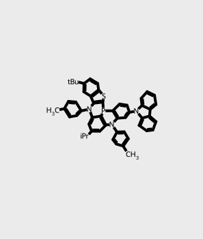 Cc1ccc(N2c3cc(-n4c5ccccc5c5ccccc54)ccc3P3c4sc5ccc(C(C)(C)C)cc5c4N(c4ccc(C)cc4)c4cc(C(C)C)cc2c43)cc1